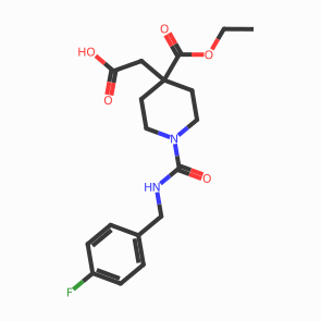 CCOC(=O)C1(CC(=O)O)CCN(C(=O)NCc2ccc(F)cc2)CC1